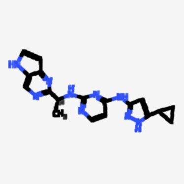 C[C@H](Nc1nccc(Nc2cc(C3CC3)[nH]n2)n1)c1ncc2[nH]ccc2n1